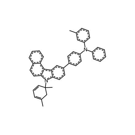 CC1=CC=CC(C)(n2c3ccc(-c4ccc(N(c5ccccc5)c5cccc(C)c5)cc4)cc3c3c4ccccc4ccc32)C1